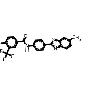 Cc1ccc2nc(-c3ccc(NC(=O)c4ccc(F)c(C(F)(F)F)c4)cc3)sc2c1